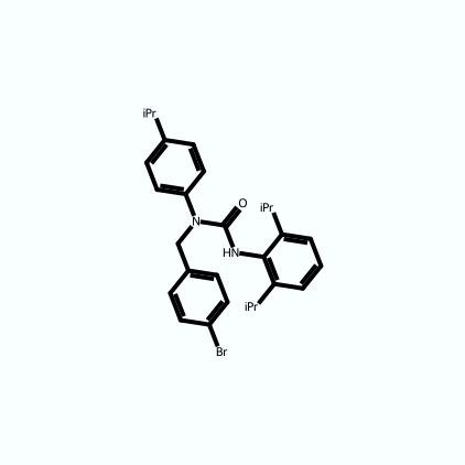 CC(C)c1ccc(N(Cc2ccc(Br)cc2)C(=O)Nc2c(C(C)C)cccc2C(C)C)cc1